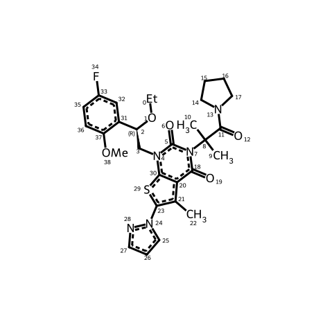 CCO[C@@H](Cn1c(=O)n(C(C)(C)C(=O)N2CCCC2)c(=O)c2c(C)c(-n3cccn3)sc21)c1cc(F)ccc1OC